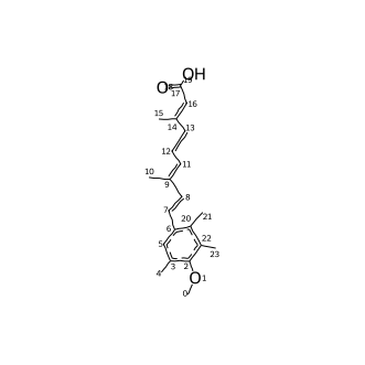 COc1c(C)cc(/C=C/C(C)=C/C=C/C(C)=C/C(=O)O)c(C)c1C